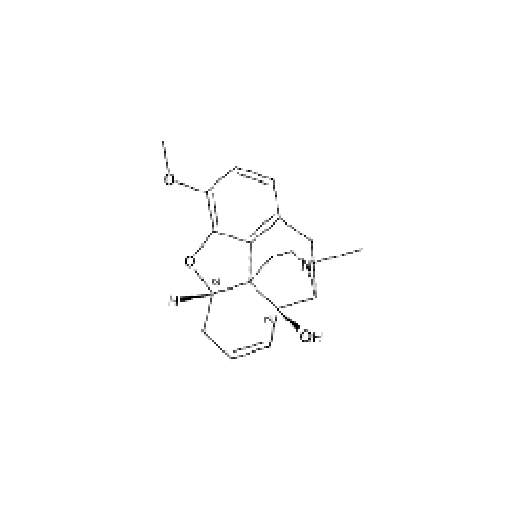 COc1ccc2c3c1O[C@H]1CC=C[C@@]4(O)C(C2)N(C)CCC314